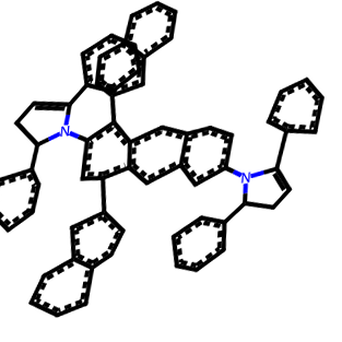 C1=C(c2ccccc2)N(c2ccc3cc4c(-c5ccc6ccccc6c5)c(N5C(c6ccccc6)=CCC5c5ccccc5)cc(-c5ccc6ccccc6c5)c4cc3c2)C(c2ccccc2)C1